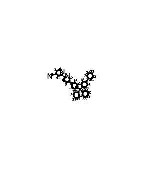 N#Cc1ccnc(-c2ccc(-c3ccc4c(c3)-c3cc(-c5ccccc5)ccc3C4(c3ccccc3)c3ccccc3)cn2)c1